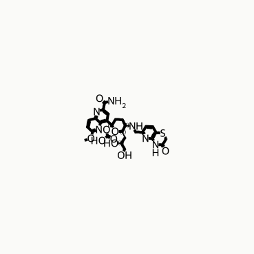 COc1ccc2nc(C(N)=O)cc([C@@]3(OC(=O)O)CC[C@@H](NCc4ccc5c(n4)NC(=O)CS5)[C@@H](C[C@H](O)CO)O3)c2n1